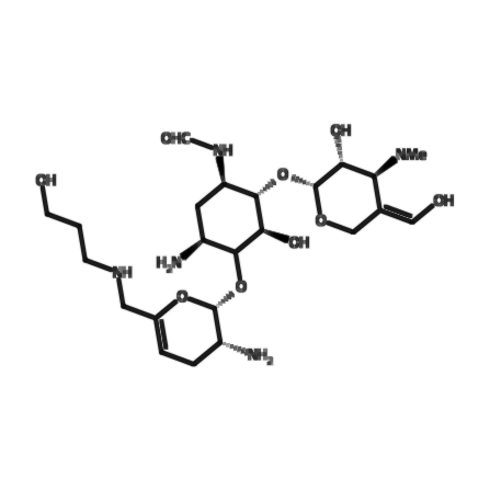 CN[C@H]1/C(=C\O)CO[C@H](O[C@H]2[C@H](NC=O)C[C@H](N)C(O[C@H]3OC(CNCCCO)=CC[C@H]3N)[C@@H]2O)[C@@H]1O